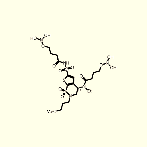 CCN(C(=O)CCCON(O)O)[C@H]1CN(CCCOC)S(=O)(=O)c2sc(S(=O)(=O)NC(=O)CCCON(O)O)cc21